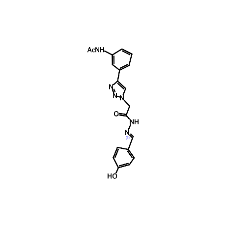 CC(=O)Nc1cccc(-c2cn(CC(=O)N/N=C/c3ccc(O)cc3)nn2)c1